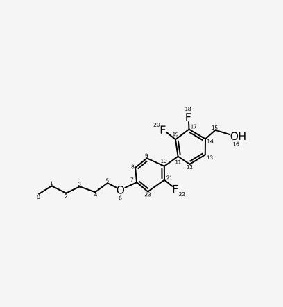 CCCCCCOc1ccc(-c2ccc(CO)c(F)c2F)c(F)c1